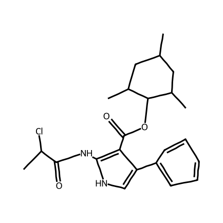 CC1CC(C)C(OC(=O)c2c(-c3ccccc3)c[nH]c2NC(=O)C(C)Cl)C(C)C1